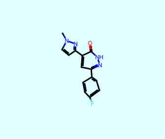 Cn1ccc(-c2cc(-c3ccc(F)cc3)n[nH]c2=O)n1